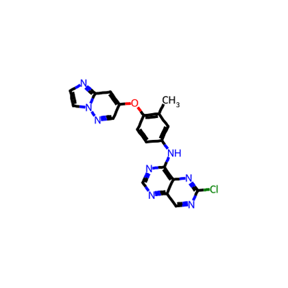 Cc1cc(Nc2ncnc3cnc(Cl)nc23)ccc1Oc1cnn2ccnc2c1